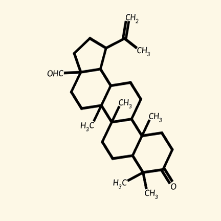 C=C(C)C1CCC2(C=O)CCC3(C)C(CCC4C5(C)CCC(=O)C(C)(C)C5CCC43C)C12